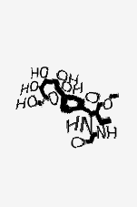 CCOC(=O)C1=C(C)NC(C=O)NC1c1ccc([C@@]2(O)O[C@H](CO)[C@@H](O)[C@@H](O)[C@H]2O)cc1